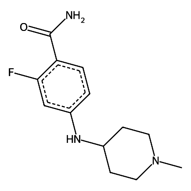 CN1CCC(Nc2ccc(C(N)=O)c(F)c2)CC1